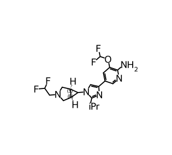 CC(C)c1nc(-c2cnc(N)c(OC(F)F)c2)cn1C1[C@H]2CN(CC(F)F)C[C@@H]12